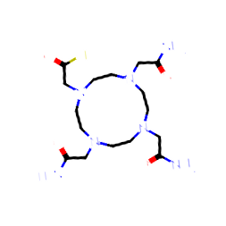 NC(=O)CN1CCN(CC(N)=O)CCN(CC(=O)S)CCN(CC(N)=O)CC1